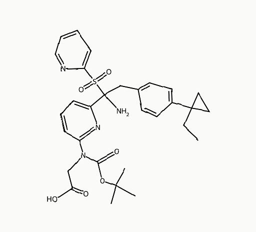 CCC1(c2ccc(CC(N)(c3cccc(N(CC(=O)O)C(=O)OC(C)(C)C)n3)S(=O)(=O)c3ccccn3)cc2)CC1